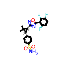 CC1(C)[C@@H](c2ccc(S(N)(=O)=O)cc2)[C@@H]1c1noc(-c2c(F)ccc(F)c2F)n1